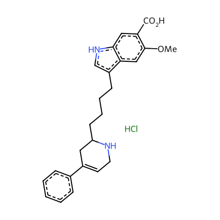 COc1cc2c(CCCCC3CC(c4ccccc4)=CCN3)c[nH]c2cc1C(=O)O.Cl